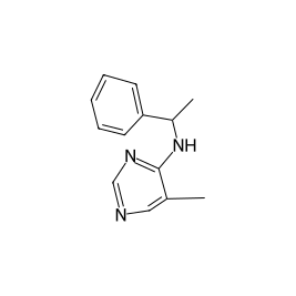 Cc1cncnc1NC(C)c1ccccc1